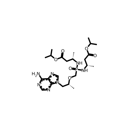 CC(C)OC(=O)C[C@H](C)NP(=O)(CO[C@H](C)Cn1cnc2c(N)ncnc21)N[C@@H](C)CC(=O)OC(C)C